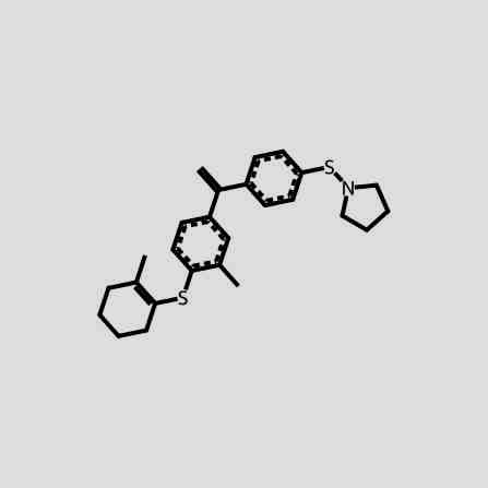 C=C(c1ccc(SN2CCCC2)cc1)c1ccc(SC2=C(C)CCCC2)c(C)c1